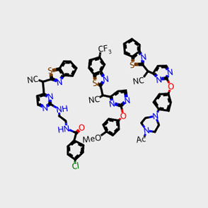 CC(=O)N1CCN(c2ccc(Oc3nccc(C(C#N)c4nc5ccccc5s4)n3)cc2)CC1.COc1ccc(Oc2nccc(C(C#N)c3nc4cc(C(F)(F)F)ccc4s3)n2)cc1.N#CC(c1ccnc(NCCNC(=O)c2ccc(Cl)cc2)n1)c1nc2ccccc2s1